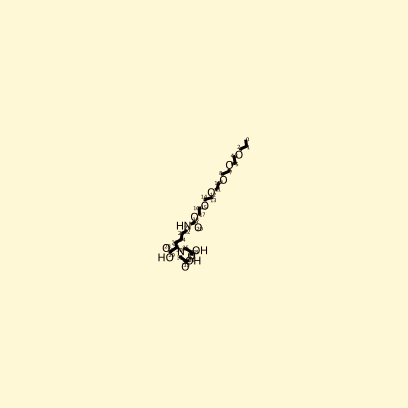 CCCOCCOCCOCCOCCOCCOC(=O)NCCCCC(C(=O)O)N(CC(=O)O)CC(=O)O